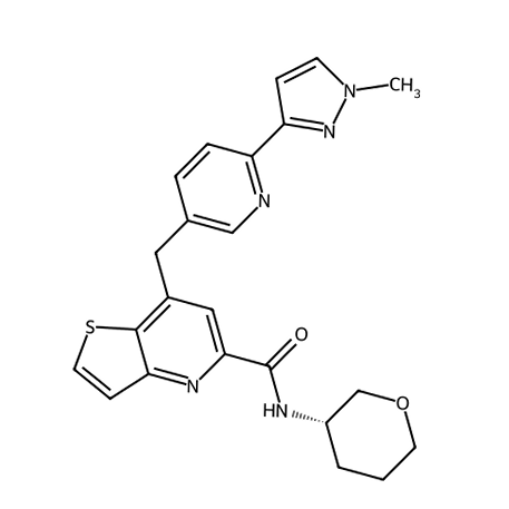 Cn1ccc(-c2ccc(Cc3cc(C(=O)N[C@H]4CCCOC4)nc4ccsc34)cn2)n1